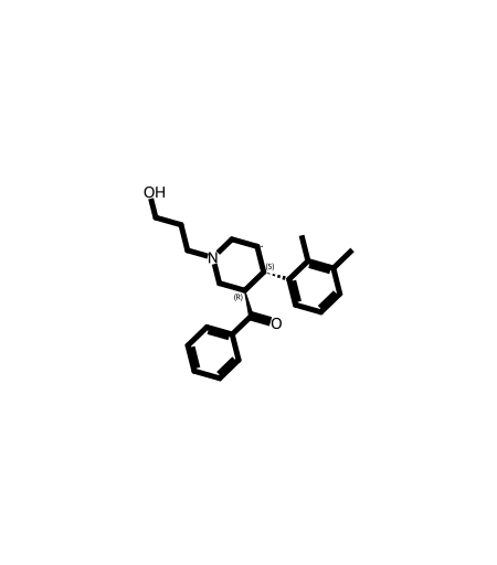 Cc1cccc([C@H]2[CH]CN(CCCO)C[C@@H]2C(=O)c2ccccc2)c1C